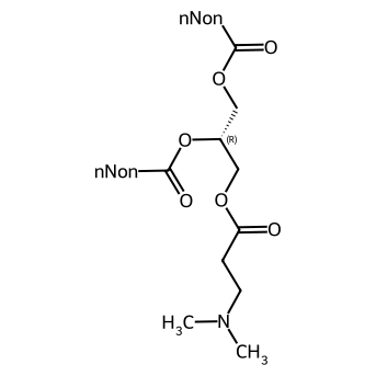 CCCCCCCCCC(=O)OC[C@H](COC(=O)CCN(C)C)OC(=O)CCCCCCCCC